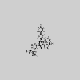 C[C@H](c1c[nH]c2ccccc12)[C@@H](NC(=O)N1CCC(c2ccc(Cl)cc2)CC1)C(=O)Nc1cccc(CN(C)C)c1